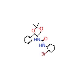 CC1(C)OCC(NC(=O)Nc2ccccc2Br)C(c2ccccc2)O1